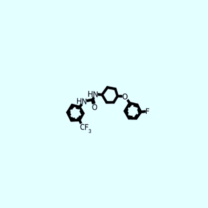 O=C(Nc1cccc(C(F)(F)F)c1)NC1CCC(Oc2cccc(F)c2)CC1